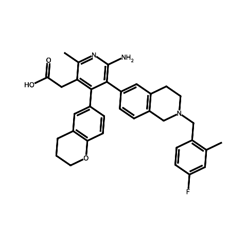 Cc1cc(F)ccc1CN1CCc2cc(-c3c(N)nc(C)c(CC(=O)O)c3-c3ccc4c(c3)CCCO4)ccc2C1